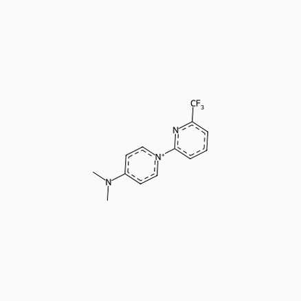 CN(C)c1cc[n+](-c2cccc(C(F)(F)F)n2)cc1